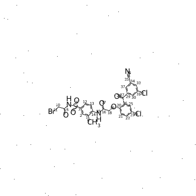 Cc1cc(S(=O)(=O)NC(=O)CBr)ccc1NC(=O)COc1ccc(Cl)cc1C(=O)c1cc(Cl)cc(C#N)c1